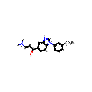 CCOC(=O)c1cccc(-n2cnc3cc(C(=O)C=CN(C)C)ccc32)c1